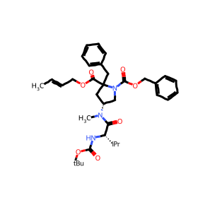 CC=CCOC(=O)C1(Cc2ccccc2)C[C@@H](N(C)C(=O)[C@@H](NC(=O)OC(C)(C)C)C(C)C)CN1C(=O)OCc1ccccc1